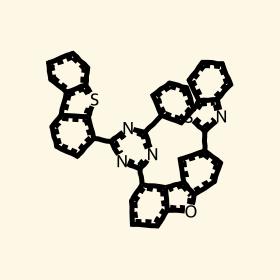 c1ccc(-c2nc(-c3cccc4c3sc3ccccc34)nc(-c3cccc4oc5ccc(-c6nc7ccccc7s6)cc5c34)n2)cc1